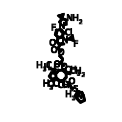 C=C[C@@]1(C)C[C@H](OC(=O)CSC2CC3CCC(C2)N3C)C(C)(C)C2C(=O)CCC2(CCC)[C@H](C)[C@H]1OC(=O)CCOC(=O)c1cn(C2C[C@@H]2F)c2c(Cl)c(N3C[C@@H](N)C4(CC4)C3)c(F)cc2c1=O